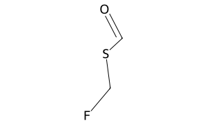 O=CSCF